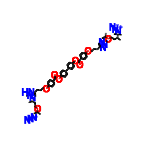 CC(CN=[N+]=[N-])OCCC(C)N1C=C(CCCOc2ccc(C(=O)Oc3ccc(-c4ccc(OC(=O)c5ccc(OCCCc6cn(CC(C)OCCC(C)C(C)(C)N=[N+]=[N-])nn6)cc5)cc4)cc3)cc2)NN1C